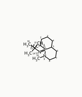 CC1CCCC2CCCN(C)P12=NC(C)(C)C